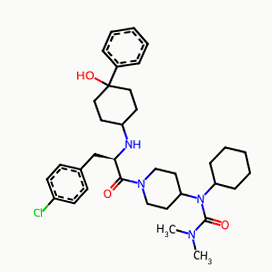 CN(C)C(=O)N(C1CCCCC1)C1CCN(C(=O)[C@@H](Cc2ccc(Cl)cc2)NC2CCC(O)(c3ccccc3)CC2)CC1